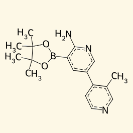 Cc1cnccc1-c1cnc(N)c(B2OC(C)(C)C(C)(C)O2)c1